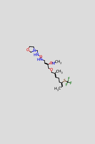 C=NO/C(=C\CNONCN1CCOC1)COC/C(C)=C/CC/C(=C\C)SC(F)(F)F